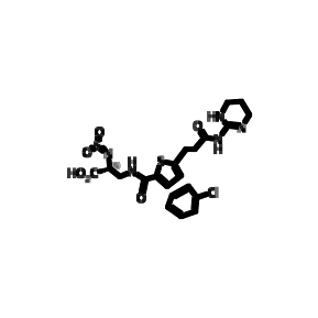 Clc1ccccc1.O=C(CCc1ccc(C(=O)NC[C@H](N=S(=O)=O)C(=O)O)s1)NC1=NCCCN1